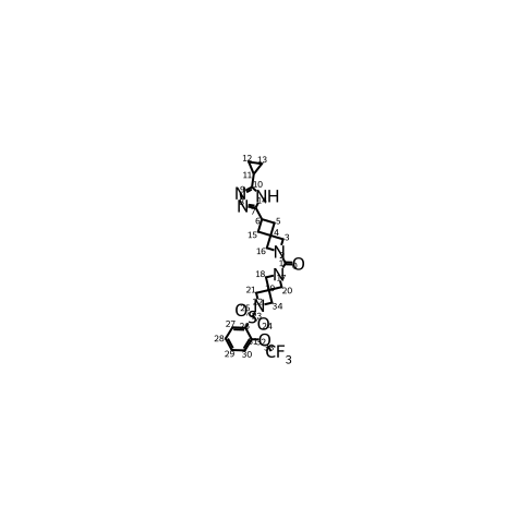 O=C(N1CC2(CC(c3nnc(C4CC4)[nH]3)C2)C1)N1CC2(C1)CN(S(=O)(=O)c1ccccc1OC(F)(F)F)C2